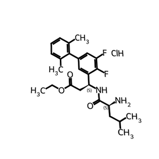 CCOC(=O)C[C@H](NC(=O)[C@@H](N)CC(C)C)c1cc(-c2c(C)cccc2C)cc(F)c1F.Cl